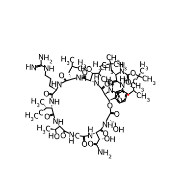 CC[C@H](C)[C@@H]1NC(=O)[C@@H](CCCNC(=N)N)NC(=O)[C@H](CC(C)C)NC(=O)[C@H]([C@H](O)C(C)C)NC(=O)[C@@H](NC(=O)[C@H](CC(C)C)NC(=O)[C@@H](CC(C)(C)C)NC(=O)OC(C)(C)C)[C@@H](c2ccccc2)OC(=O)[C@H](CO)NC(=O)[C@H]([C@H](O)C(N)=O)NC(=O)CNC(=O)[C@H]([C@H](C)O)NC1=O